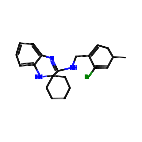 CC1C=C(Br)C(CNC2=Nc3ccccc3NC23CCCCC3)=CC1